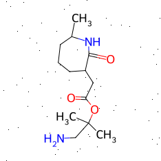 CC1CCCC(CC(=O)OC(C)(C)CN)C(=O)N1